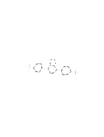 CC(C)(C)c1ccc(-c2cc(N)c(-c3ccc(C(C)(C)C)cc3)c3nsnc23)cc1